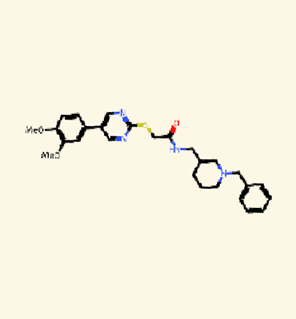 COc1ccc(-c2cnc(SCC(=O)NCC3CCCN(Cc4ccccc4)C3)nc2)cc1OC